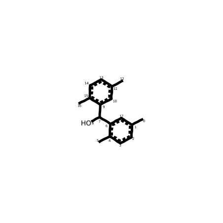 Cc1ccc(C)c(C(O)c2cc(C)ccc2C)c1